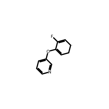 FC1=C[CH]CC=C1Oc1cccnc1